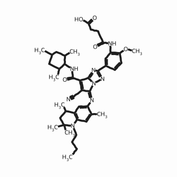 CCCCN1c2cc(C)c(/N=C3\C(C#N)=C(C(=O)NC4C(C)CC(C)CC4C)c4nc(-c5ccc(OC)c(NC(=O)CCC(=O)O)c5)nn43)cc2C(C)CC1(C)C